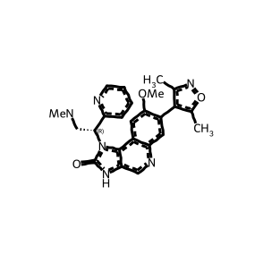 CNC[C@H](c1ccccn1)n1c(=O)[nH]c2cnc3cc(-c4c(C)noc4C)c(OC)cc3c21